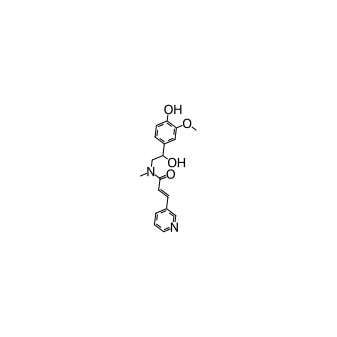 COc1cc(C(O)CN(C)C(=O)/C=C/c2cccnc2)ccc1O